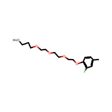 COCCCOCCOCCOCCOc1ccc(C)cc1F